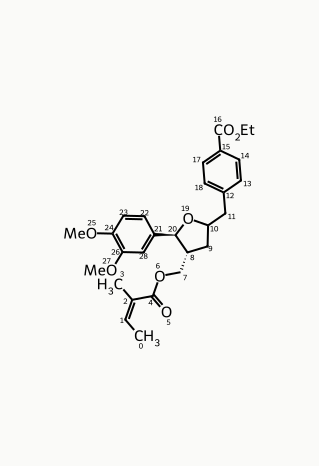 C/C=C(/C)C(=O)OC[C@H]1CC(Cc2ccc(C(=O)OCC)cc2)O[C@@H]1c1ccc(OC)c(OC)c1